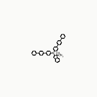 CC1(C)C(N(c2ccc(-c3ccc(-c4ccccc4)cc3)cc2)c2ccc(-c3ccc(-c4ccccc4)cc3)cc2)=Cc2ccccc21